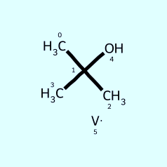 CC(C)(C)O.[V]